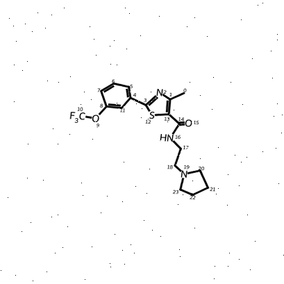 Cc1nc(-c2cccc(OC(F)(F)F)c2)sc1C(=O)NCCN1CCCC1